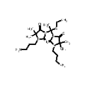 CCOC(C)(N1C(=O)N(CCCN)C(C)(C)C1=O)N1C(=O)N(CCCN)C(C)(C)C1=O